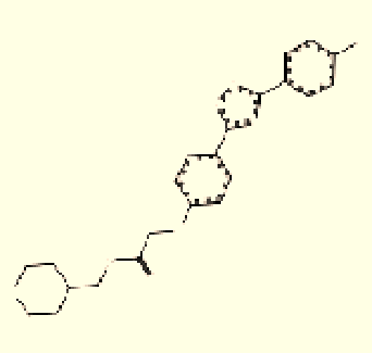 O=C(COc1ccc(-c2nnc(-c3ccc(F)cc3)o2)cc1)NCC1CCOCC1